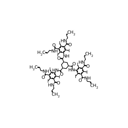 C=CCNC(=O)c1c(I)c(NC(=O)C2CC(C(=O)Nc3c(I)c(C(=O)NCC=C)c(I)c(C(=O)NCC=C)c3I)CC(C(=O)Nc3c(I)c(C(=O)NCC=C)c(I)c(C(=O)NCC=C)c3I)C2)c(I)c(C(=O)NCC=C)c1I